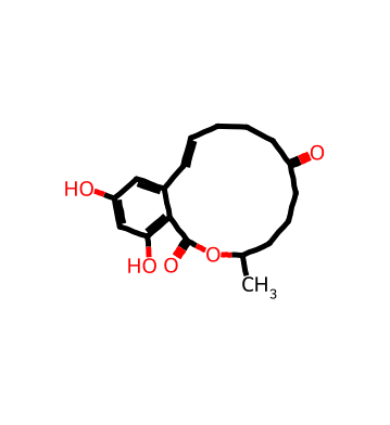 CC1CCCC(=O)CCC/C=C/c2cc(O)cc(O)c2C(=O)O1